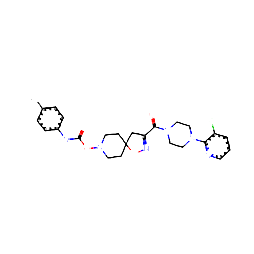 CC(C)(C)c1ccc(NC(=O)ON2CCC3(CC2)CC(C(=O)N2CCN(c4ncccc4Cl)CC2)=NO3)cc1